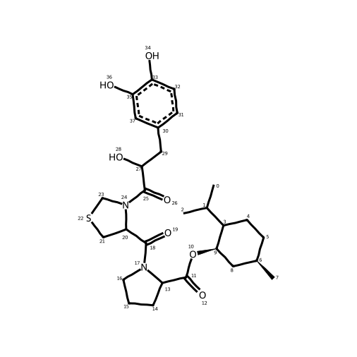 CC(C)C1CC[C@@H](C)C[C@H]1OC(=O)C1CCCN1C(=O)C1CSCN1C(=O)C(O)Cc1ccc(O)c(O)c1